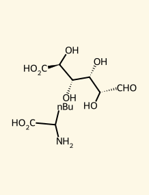 CCCCC(N)C(=O)O.O=C[C@H](O)[C@@H](O)[C@H](O)[C@H](O)C(=O)O